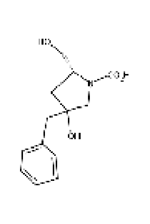 O=C(O)N1CC(O)(Cc2ccccc2)C[C@@H]1CO